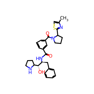 Cc1csc(C2CCCN2C(=O)c2cccc(C(=O)N[C@@H](Cc3ccccc3)[C@H](O)C3CCCN3)c2)n1